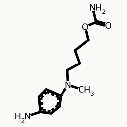 CN(CCCCOC(N)=O)c1ccc(N)cc1